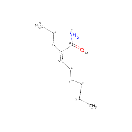 CCCCCC=C(CCC)C(N)=O